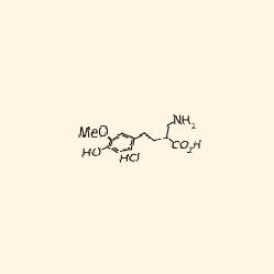 COc1cc(CCC(CN)C(=O)O)ccc1O.Cl